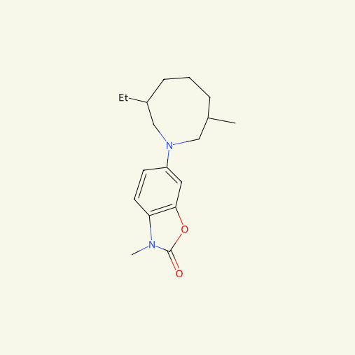 CCC1CCCC(C)CN(c2ccc3c(c2)oc(=O)n3C)C1